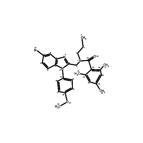 CCCN(Cc1nc2cc(Br)ccc2n1-c1ccc(OC)cc1)C(=O)c1c(C)cc(C)cc1C